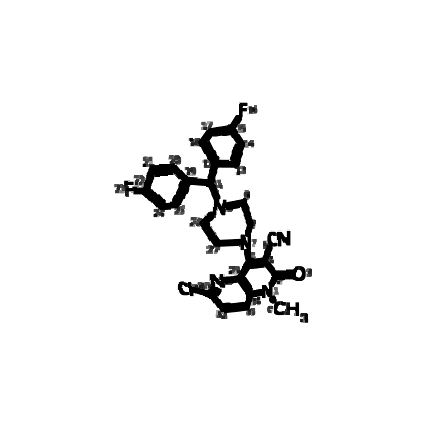 Cn1c(=O)c(C#N)c(N2CCN(C(c3ccc(F)cc3)c3ccc(F)cc3)CC2)c2nc(Cl)ccc21